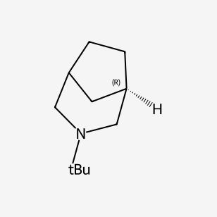 CC(C)(C)N1CC2CC[C@H](C2)C1